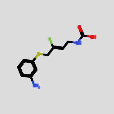 Nc1cccc(SCC(F)=CCNC(=O)O)c1